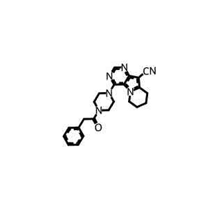 N#Cc1c2n(c3c(N4CCN(C(=O)Cc5ccccc5)CC4)ncnc13)CCCC2